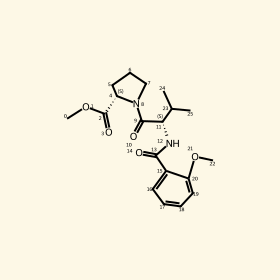 COC(=O)[C@@H]1CCCN1C(=O)[C@@H](NC(=O)c1ccccc1OC)C(C)C